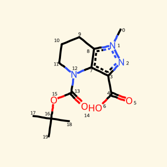 Cn1nc(C(=O)O)c2c1CCCN2C(=O)OC(C)(C)C